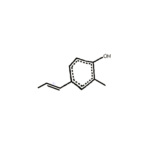 C/C=C/c1ccc(O)c(C)c1